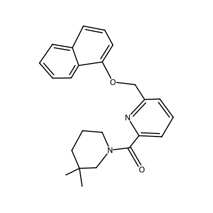 CC1(C)CCCN(C(=O)c2cccc(COc3cccc4ccccc34)n2)C1